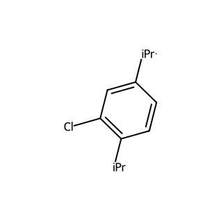 C[C](C)c1ccc(C(C)C)c(Cl)c1